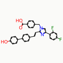 O=C(O)c1ccc(Cn2cc(-c3ccc(F)cc3F)nc2C=Cc2ccc(-c3ccc(O)cc3)cc2)cc1